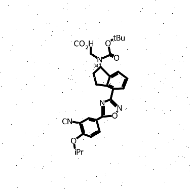 [C-]#[N+]c1cc(-c2nc(-c3cccc4c3CC[C@@H]4N(CC(=O)O)C(=O)OC(C)(C)C)no2)ccc1OC(C)C